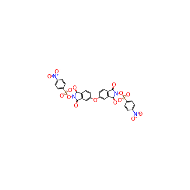 O=C1c2ccc(Oc3ccc4c(c3)C(=O)N(OS(=O)(=O)c3ccc([N+](=O)[O-])cc3)C4=O)cc2C(=O)N1OS(=O)(=O)c1ccc([N+](=O)[O-])cc1